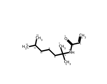 C=CC(=O)NC(C)(C)CCCC(C)C